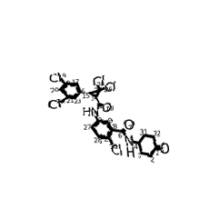 O=C1CCC(NC(=O)c2cc(NC(=O)[C@H]3[C@H](c4cc(Cl)cc(Cl)c4)C3(Cl)Cl)ccc2Cl)CC1